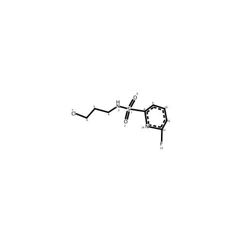 O=S(=O)(NCCCCl)c1cccc(F)n1